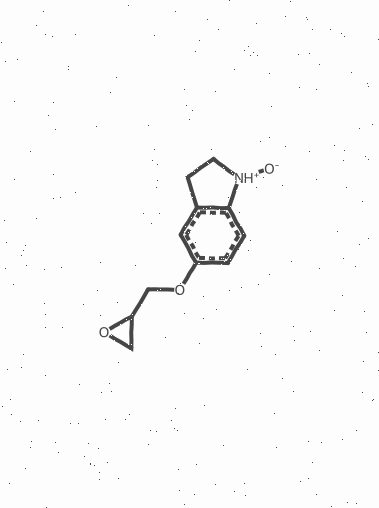 [O-][NH+]1CCc2cc(OCC3CO3)ccc21